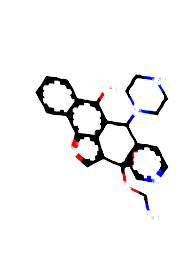 NCOC(=O)c1coc2c1c(C(c1ccncc1)N1CCNCC1)c(O)c1ccccc12